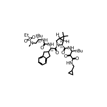 CCCCC(NC(=O)[C@@H]1[C@@H]2[C@H](CN1C(=O)[C@@H](NC(=O)N[C@H](CN(C)S(=O)(=O)CC)C(C)(C)C)C1Cc3ccccc3C1)C2(C)C)C(=O)C(=O)NCC1CC1